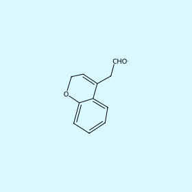 O=[C]CC1=CCOc2ccccc21